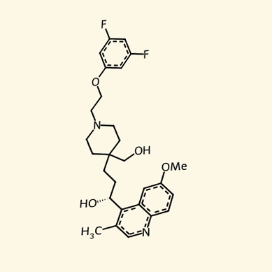 COc1ccc2ncc(C)c([C@H](O)CCC3(CO)CCN(CCOc4cc(F)cc(F)c4)CC3)c2c1